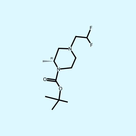 C[C@@H]1CN(CC(F)F)CCN1C(=O)OC(C)(C)C